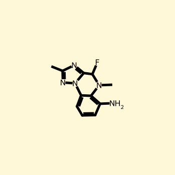 Cc1nc2n(n1)-c1cccc(N)c1N(C)C2F